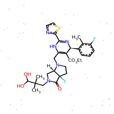 CCOC(=O)C1=C(CN2CC[C@]3(F)C(=O)N(CC(C)(C)C(O)O)C[C@H]23)NC(c2nccs2)=N[C@H]1c1cccc(F)c1C